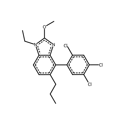 CCCc1ccc2c(nc(OC)n2CC)c1-c1cc(Cl)c(Cl)cc1Cl